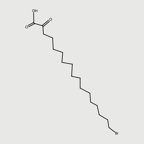 O=C(O)C(=O)CCCCCCCCCCCCCCCBr